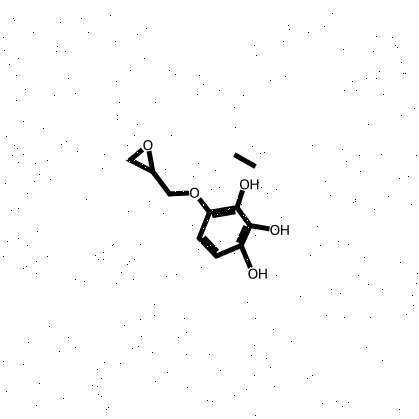 CC.Oc1ccc(OCC2CO2)c(O)c1O